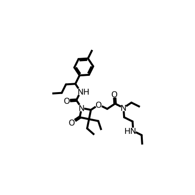 CCCC(NC(=O)N1C(=O)C(CC)(CC)C1OCC(=O)N(CC)CCNCC)c1ccc(C)cc1